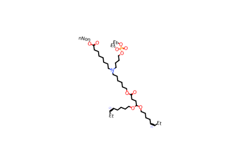 CC/C=C\CCCCOC(CCC(=O)OCCCCCCN(CCCCCCCC(=O)OCCCCCCCCC)CCCCOP(=O)(OCC)OCC)OCCCC/C=C\CC